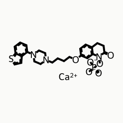 O=C1CCc2ccc(OCCCCN3CCN(c4cccc5sccc45)CC3)cc2N1OP(=O)([O-])[O-].[Ca+2]